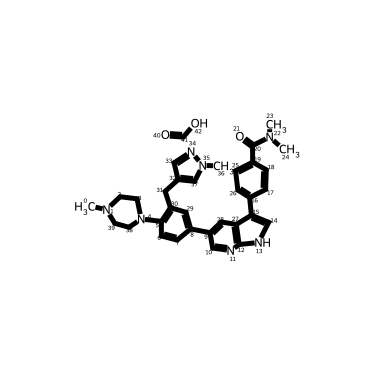 CN1CCN(c2ccc(-c3cnc4[nH]cc(-c5ccc(C(=O)N(C)C)cc5)c4c3)cc2Cc2cnn(C)c2)CC1.O=CO